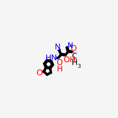 Cc1oncc1/C(O)=C(\C#N)C(O)Nc1ccc2c(c1)CCC2=O